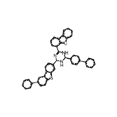 c1ccc(-c2ccc(C3NC(c4cccc5c4oc4ccccc45)=NC(c4ccc5c(c4)sc4ccc(-c6ccccc6)cc45)N3)cc2)cc1